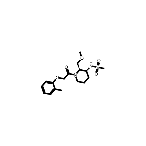 COC[C@H]1[C@@H](NS(C)(=O)=O)CCCN1C(=O)COc1ccccc1C